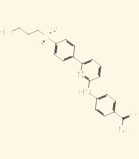 NC(=O)c1ccc(Nc2cccc(-c3ccc(S(=O)(=O)CCCO)cc3)n2)cc1